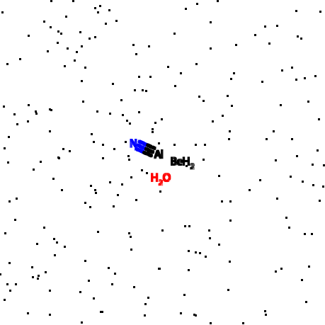 O.[BeH2].[N]#[Al]